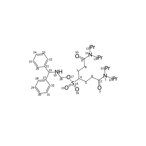 CC(C)N(C(=O)CCC(CCC(=O)N(C(C)C)C(C)C)S(=O)(=O)OCNC(c1ccccc1)c1ccccc1)C(C)C